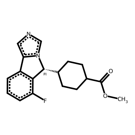 COC(=O)C1CCC([C@@H]2c3c(F)cccc3-c3cncn32)CC1